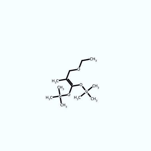 CCOCC(C)=C(O[Si](C)(C)C)O[Si](C)(C)C